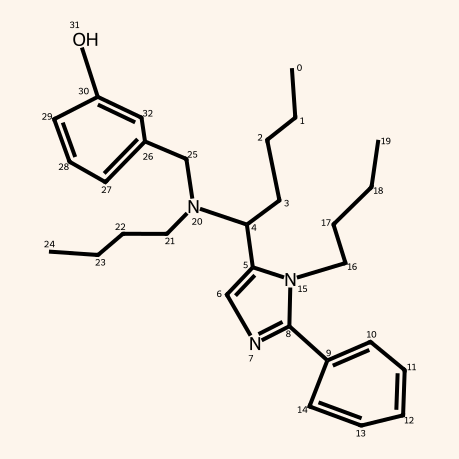 CCCCC(c1cnc(-c2ccccc2)n1CCCC)N(CCCC)Cc1cccc(O)c1